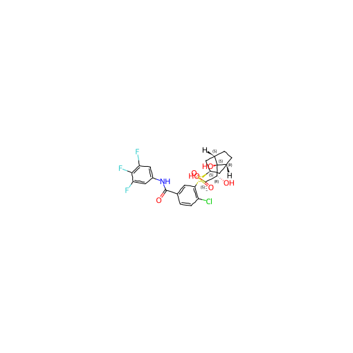 C[C@H](O)[C@@H](O)[C@@]1(O)[C@@H]2CC[C@H]1C[C@H](S(=O)(=O)c1cc(C(=O)Nc3cc(F)c(F)c(F)c3)ccc1Cl)C2